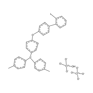 Cc1ccc([S+](c2ccc(C)cc2)c2ccc(Oc3ccc(-c4ccccc4I)cc3)cc2)cc1.[O-][Cl+3]([O-])([O-])O.[O-][Cl+3]([O-])([O-])[O-]